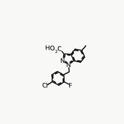 Cc1ccc2c(c1)c(C(=O)O)nn2Cc1ccc(Cl)cc1F